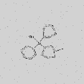 Cc1cccc([Si](c2ccccc2)(c2ccccc2)C(C)(C)C)c1